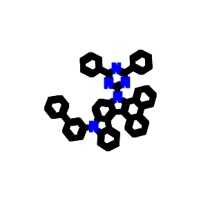 c1ccc(-c2cccc(-n3c4ccccc4c4c5c6c7ccccc7c7ccccc7c6n(-c6nc(-c7ccccc7)nc(-c7ccccc7)n6)c5ccc43)c2)cc1